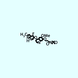 COc1cc2c(Oc3cnc4[nH]c(C)cc4c3F)ccnc2cc1OCCC(=O)N1CC2(COC2)C1